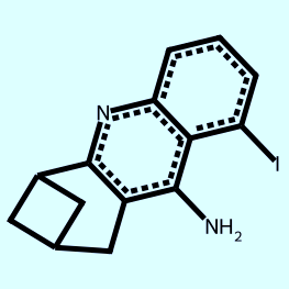 Nc1c2c(nc3cccc(I)c13)C1CC(C2)C1